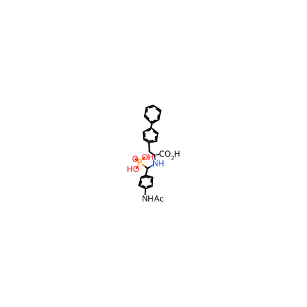 CC(=O)Nc1ccc(C(N[C@@H](Cc2ccc(-c3ccccc3)cc2)C(=O)O)P(=O)(O)O)cc1